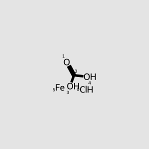 Cl.O=C(O)O.[Fe]